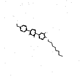 CCCCCCCCOc1ccc(-c2ccc(-c3ccc(CC)cc3)c(F)c2F)cc1F